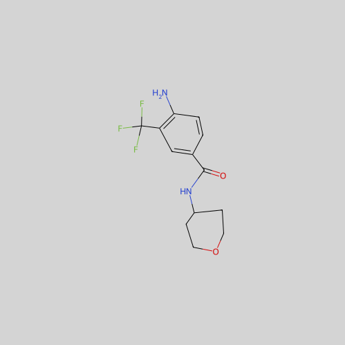 Nc1ccc(C(=O)NC2CCOCC2)cc1C(F)(F)F